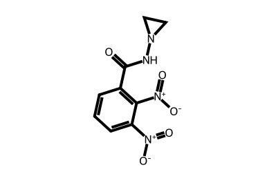 O=C(NN1CC1)c1cccc([N+](=O)[O-])c1[N+](=O)[O-]